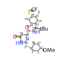 COc1ccc(Cc2nc(C(=O)N[C@@H](c3ccc(SC(F)(F)F)cc3)C(C)(C)C)cc(=O)[nH]2)cc1